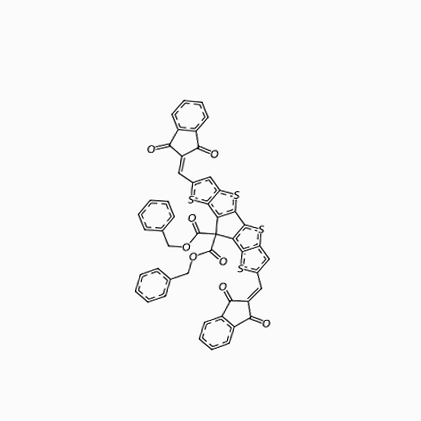 O=C1C(=Cc2cc3sc4c(c3s2)C(C(=O)OCc2ccccc2)(C(=O)OCc2ccccc2)c2c-4sc3cc(C=C4C(=O)c5ccccc5C4=O)sc23)C(=O)c2ccccc21